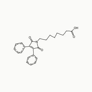 O=C(O)CCCCCCCN1C(=O)C(c2ccccc2)=C(c2ccccc2)C1=O